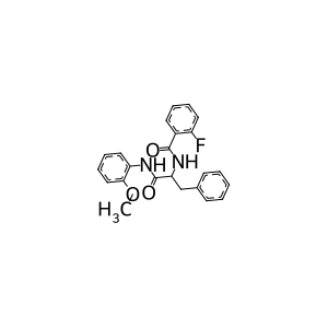 COc1ccccc1NC(=O)C(Cc1ccccc1)NC(=O)c1ccccc1F